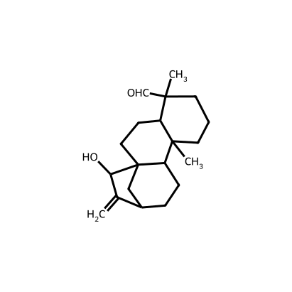 C=C1C2CCC3C4(C)CCCC(C)(C=O)C4CCC3(C2)C1O